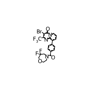 O=C(c1ccc(-c2cccn3c(=O)c(Br)c(C(F)(F)F)nc23)cc1)N1CCOCC(F)(F)C1